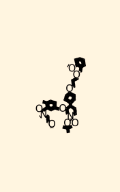 COCCN(C)C(=O)c1cc(COC2CN(C(=O)OC(C)(C)C)CCC2c2ccc(OCCCOCc3ccccc3OC)cc2)ccc1C